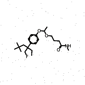 CCC(CF)(CC(C)(C)C)c1ccc(OC(C)OCCCC(=O)NC)cc1